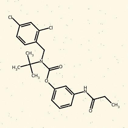 CCC(=O)Nc1cccc(OC(=O)N(Cc2ccc(Cl)cc2Cl)C(C)(C)C)c1